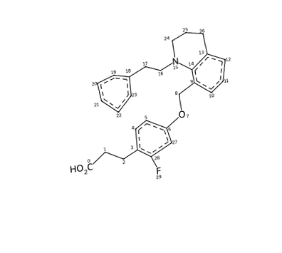 O=C(O)CCc1ccc(OCc2cccc3c2N(CCc2ccccc2)CCC3)cc1F